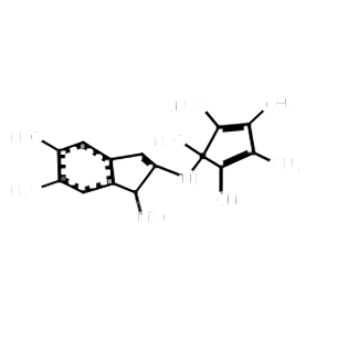 CCCCC1[C]([Hf][C]2(C)C(C)=C(C)C(C)=C2C)=Cc2cc(C)c(C)cc21